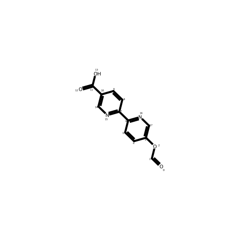 O=COc1ccc(-c2ccc(C(=O)O)cn2)nc1